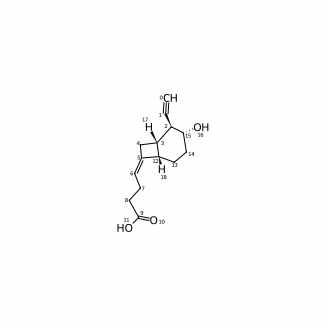 C#C[C@@H]1[C@H]2C/C(=C/CCC(=O)O)[C@H]2CC[C@H]1O